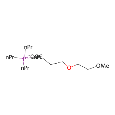 CCC[P+](CCC)(CCC)CCC.COCCOCCC(=O)[O-]